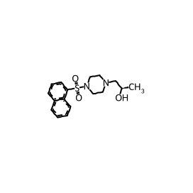 C[C@@H](O)CN1CCN(S(=O)(=O)c2cccc3ccccc23)CC1